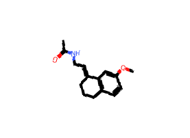 COc1ccc2c(c1)C(=CCNC(C)=O)CCC2